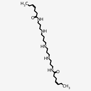 CC/C=C\CCC(=O)NCCCNCCCCNCCCNCCCNC(=O)CC/C=C\CC